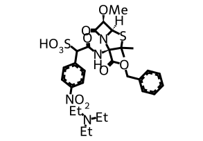 CCN(CC)CC.CO[C@@H]1C(=O)N2[C@@H]1SC(C)(C)[C@]2(NC(=O)C(c1ccc([N+](=O)[O-])cc1)S(=O)(=O)O)C(=O)OCc1ccccc1